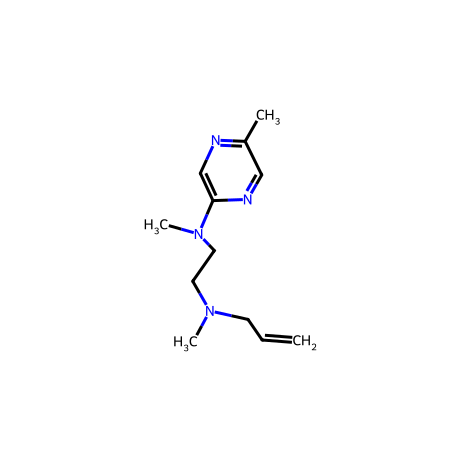 C=CCN(C)CCN(C)c1cnc(C)cn1